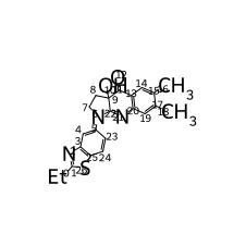 CCc1nc2cc(N3CCC4(O)C(=O)c5cc(C)c(C)cc5N=C34)ccc2s1